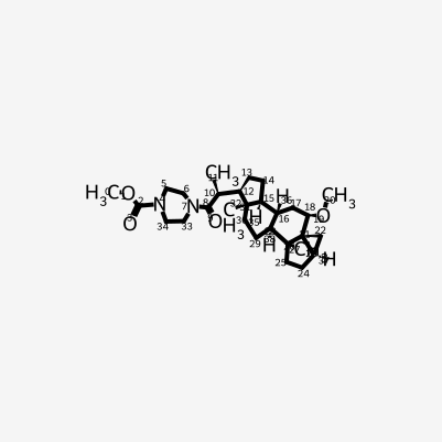 COC(=O)N1CCN(C(=O)[C@@H](C)[C@H]2CC[C@H]3[C@@H]4C[C@@H](OC)[C@]56C[C@H]5CC[C@]6(C)[C@H]4CC[C@]23C)CC1